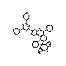 c1ccc(-c2nc(-c3ccccc3)nc(-c3ccc4c(c3)nc(-c3ccccc3)c3ccc5c(c34)-c3ccccc3C53c4ccccc4Oc4ccccc43)n2)cc1